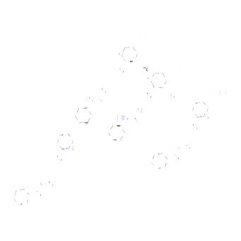 CCOC(=O)c1cc(C#N)c(N2CC(CNC(=O)Nc3ccccc3)C2)nc1C.CCOC(=O)c1cc(C#N)c(N2CCN(C(=O)Nc3ccccc3)C(CCC(=O)O)C2)nc1C(F)(F)F.CCOC(=O)c1cnc(N2CC(NC(=O)Nc3ccccc3)C2)c(Cl)c1.CCOC(=O)c1cnc(N2CCC(NC(=O)Nc3ccccc3)CC2)c(Cl)c1